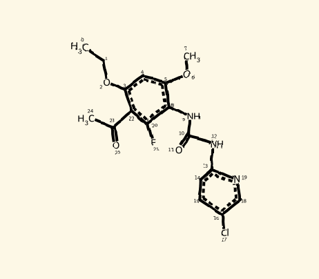 CCOc1cc(OC)c(NC(=O)Nc2ccc(Cl)cn2)c(F)c1C(C)=O